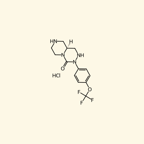 Cl.O=C1N(c2ccc(OC(F)(F)F)cc2)NC[C@@H]2CNCCN12